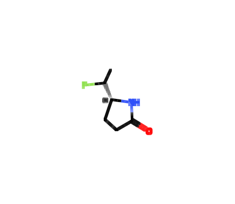 CC(F)[C@H]1CCC(=O)N1